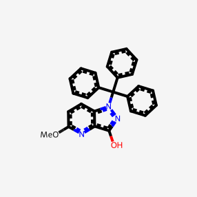 COc1ccc2c(n1)c(O)nn2C(c1ccccc1)(c1ccccc1)c1ccccc1